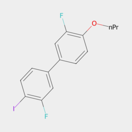 CCCOc1ccc(-c2ccc(I)c(F)c2)cc1F